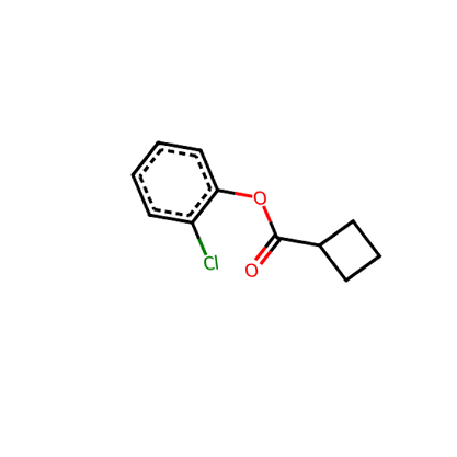 O=C(Oc1ccccc1Cl)C1CCC1